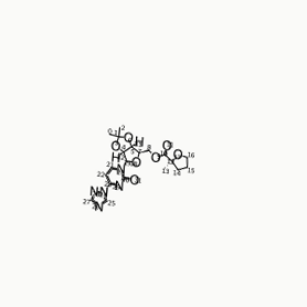 CC1(C)O[C@@H]2[C@H](O1)[C@@H](COC(=O)[C@]1(C)CCCO1)O[C@H]2n1ccc(-n2cncn2)nc1=O